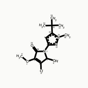 COC1=C(Cl)C(O)N(c2cc(C(C)(C)C)n(C)n2)C1=O